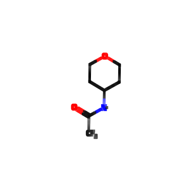 O=C([N]C1CCOCC1)C(F)(F)F